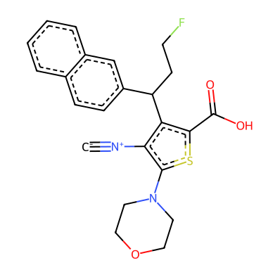 [C-]#[N+]c1c(N2CCOCC2)sc(C(=O)O)c1C(CCF)c1ccc2ccccc2c1